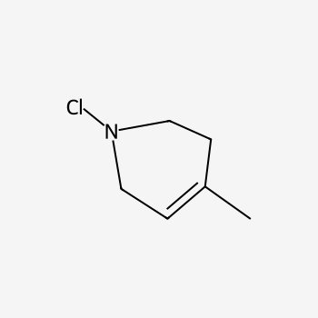 CC1=CCN(Cl)CC1